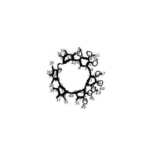 COc1c2cc(c(OC)c1OC)-c1cc(c(C)c(C)c1C)Cc1cc(c(C)c(C)c1C)-c1cc(c(C)c(C)c1C)Cc1cc(c(OC)c(OC)c1C)-c1cc(c(OC)c(OC)c1OC)C2